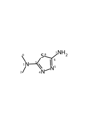 CN(C)c1nnc(N)s1